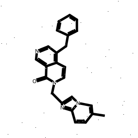 Cc1ccc2nc(Cn3ccc4c(Cc5ccccc5)cncc4c3=O)cn2c1